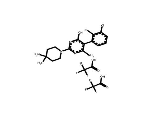 CC1(N)CCN(c2nc(N)c(-c3cccc(Cl)c3Cl)c(C#N)n2)CC1.O=C(O)C(F)(F)F.O=C(O)C(F)(F)F